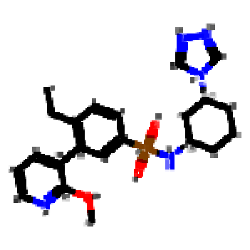 CCc1ccc(S(=O)(=O)N[C@H]2CCC[C@@H](n3cnnc3)C2)cc1-c1cccnc1OC